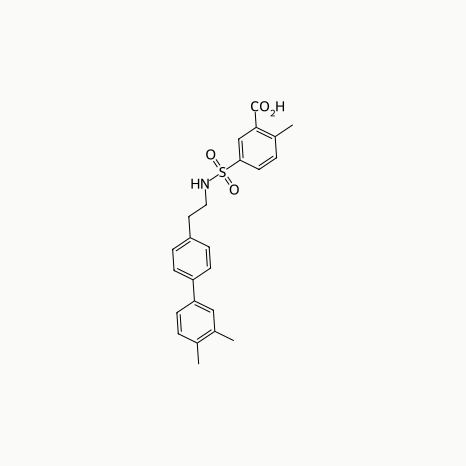 Cc1ccc(-c2ccc(CCNS(=O)(=O)c3ccc(C)c(C(=O)O)c3)cc2)cc1C